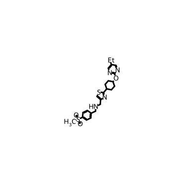 CCc1cnc(OC2CCC(c3nc(CNCc4ccc(S(C)(=O)=O)cc4)cs3)CC2)nc1